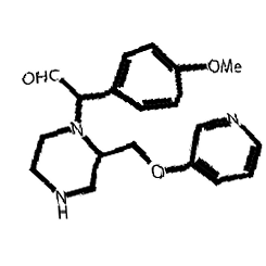 COc1ccc(C(C=O)N2CCNCC2COc2cccnc2)cc1